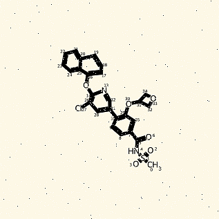 CS(=O)(=O)NC(=O)c1ccc(-c2cnc(Oc3cccc4ccccc34)c(Cl)c2)c(OC2COC2)c1